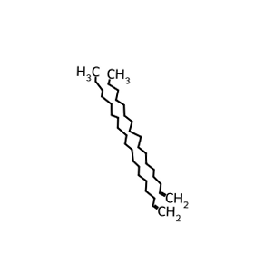 C=CCCCCCCCCCCCCCCC.C=CCCCCCCCCCCCCCCCCC